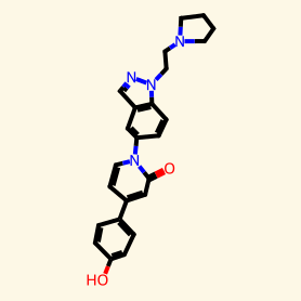 O=c1cc(-c2ccc(O)cc2)ccn1-c1ccc2c(cnn2CCN2CCCC2)c1